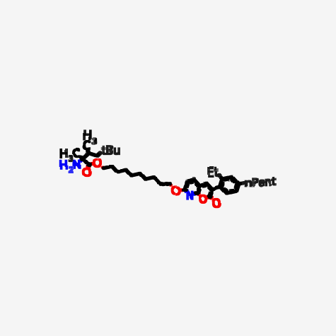 CCCCCc1ccc(-c2cc3ccc(OCCCCCCCCCCOC(=O)C(C)(N)C(C)CC(C)(C)C)nc3oc2=O)c(CC)c1